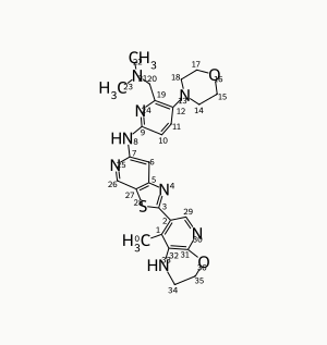 Cc1c(-c2nc3cc(Nc4ccc(N5CCOCC5)c(CN(C)C)n4)ncc3s2)cnc2c1NCCO2